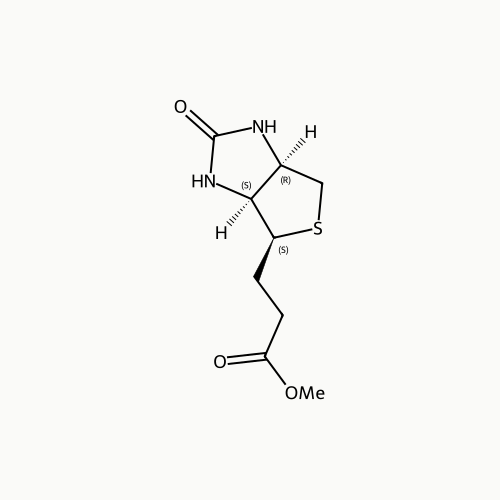 COC(=O)CC[C@@H]1SC[C@@H]2NC(=O)N[C@@H]21